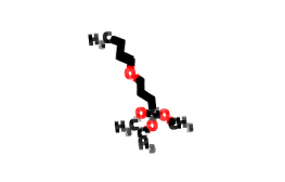 CCC=COCCC[Si](OC)(OC)OC